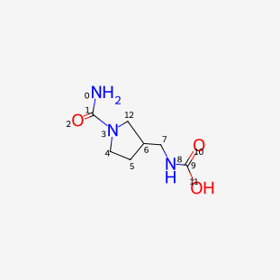 NC(=O)N1CCC(CNC(=O)O)C1